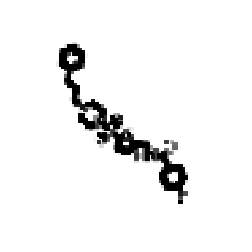 O=C(NCc1ccc(S(=O)(=O)N2CCN(CCCc3ccccc3)CC2)s1)c1ccc(Cl)cc1